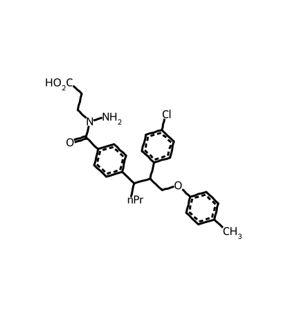 CCCC(c1ccc(C(=O)N(N)CCC(=O)O)cc1)C(COc1ccc(C)cc1)c1ccc(Cl)cc1